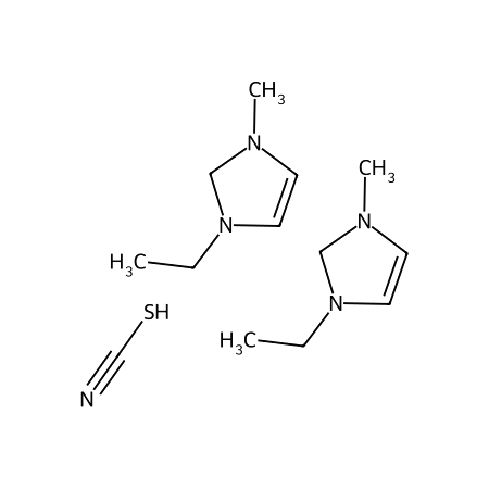 CCN1C=CN(C)C1.CCN1C=CN(C)C1.N#CS